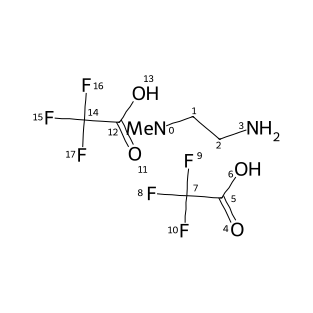 CNCCN.O=C(O)C(F)(F)F.O=C(O)C(F)(F)F